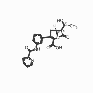 C[C@@H](O)[C@H]1C(=O)N2C(C(=O)O)=C(c3cccc(NC(=O)c4ccccn4)c3)C[C@H]12